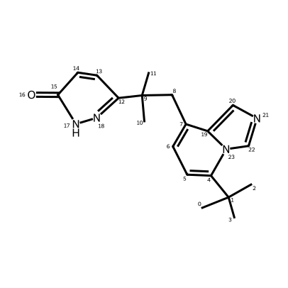 CC(C)(C)c1ccc(CC(C)(C)c2ccc(=O)[nH]n2)c2cncn12